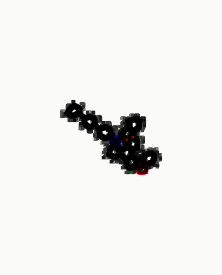 c1ccc(-c2ccc(-c3ccc(N(c4ccc5ccccc5c4)c4cccc5c6ccc7oc8ccccc8c7c6c6ccccc6c45)cc3)cc2)cc1